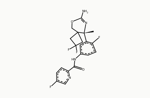 C[C@]1(c2cc(NC(=O)c3ccc(F)cn3)ccc2F)N=C(N)OCC12CC(F)(F)C2